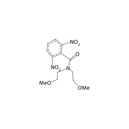 COCCN(CCOC)C(=O)c1c([N+](=O)[O-])cccc1[N+](=O)[O-]